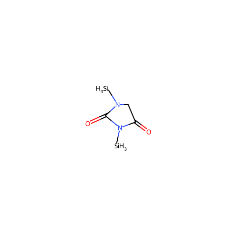 O=C1CN([SiH3])C(=O)N1[SiH3]